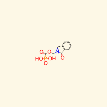 O=C1c2ccccc2CN1COC(=O)P(=O)(O)O